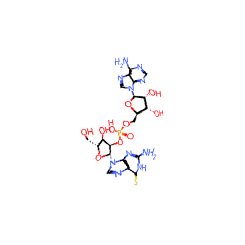 Nc1nc2c(ncn2[C@@H]2O[C@H](CO)[C@@H](O)[C@H]2OP(=O)(O)OC[C@H]2O[C@@H](n3cnc4c(N)ncnc43)[C@H](O)[C@@H]2O)c(=S)[nH]1